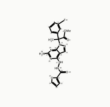 COC(=O)C(C)(c1cccc(F)c1)n1ncc2c(NNC(=O)c3ccco3)nc(N)nc21